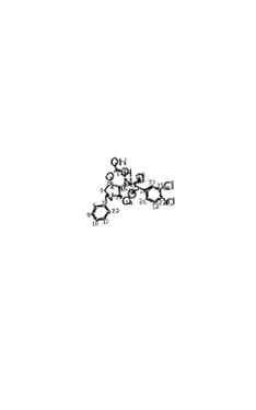 O=C(O)O[C@H]1CN(c2ccccc2)C(=O)[C@H]1NS(=O)(=O)c1ccc(Cl)c(Cl)c1